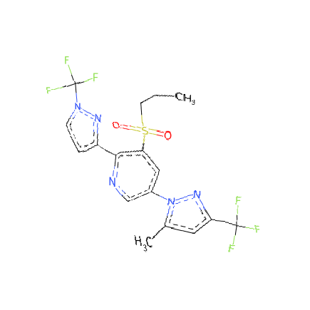 CCS(=O)(=O)c1cc(-n2nc(C(F)(F)F)cc2C)cnc1-c1ccn(C(F)(F)F)n1